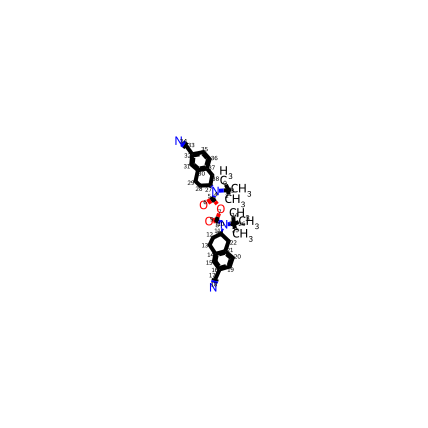 CC(C)(C)N(C(=O)OC(=O)N([C@@H]1CCc2cc(C#N)ccc2C1)C(C)(C)C)C1CCc2cc(C#N)ccc2C1